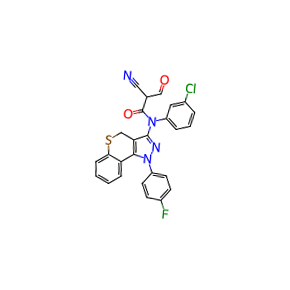 N#CC(C=O)C(=O)N(c1cccc(Cl)c1)c1nn(-c2ccc(F)cc2)c2c1CSc1ccccc1-2